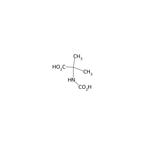 CC(C)(NC(=O)O)C(=O)O